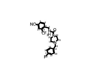 N#Cc1ccc(CNC(=O)N2CCN(Cc3ccc(F)cc3)CC2)c(C(F)(F)F)c1